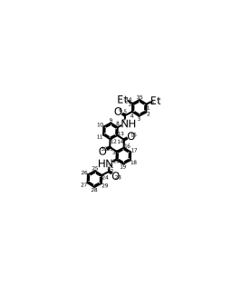 CCc1ccc(C(=O)Nc2cccc3c2C(=O)c2cccc(NC(=O)c4ccccc4)c2C3=O)c(CC)c1